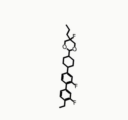 CCCC1(F)COC(C2CCC(c3ccc(-c4ccc(CC)c(F)c4)c(F)c3)CC2)OC1